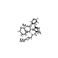 COCCSc1nnc(-c2ccccc2OC)n1CCN1CCCCC1